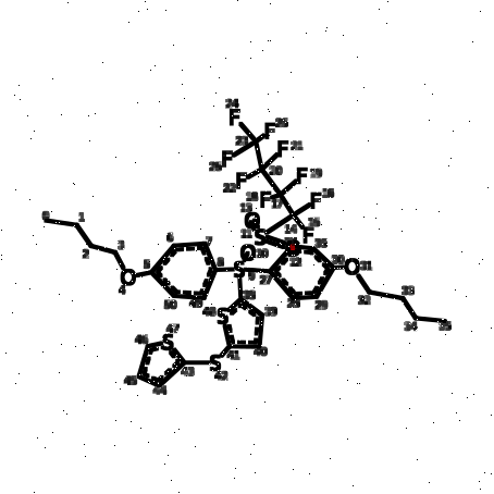 CCCCOc1ccc(S(OS(=O)(=O)C(F)(F)C(F)(F)C(F)(F)C(F)(F)F)(c2ccc(OCCCC)cc2)c2ccc(Sc3cccs3)s2)cc1